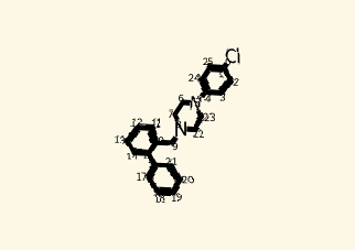 Clc1ccc(N2CCN(Cc3ccccc3-c3ccccc3)CC2)cc1